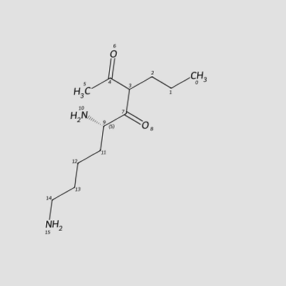 CCCC(C(C)=O)C(=O)[C@@H](N)CCCCN